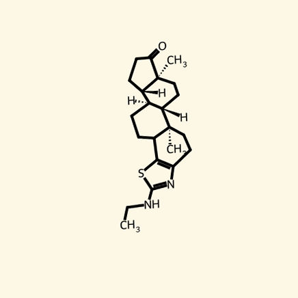 CCNc1nc2c(s1)C1CC[C@@H]3[C@H](CC[C@]4(C)C(=O)CC[C@@H]34)[C@@]1(C)CC2